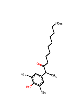 CCCCCCCCCCCCCCCCCCC(=O)C(C)c1cc(CCCC)c(O)c(CCCC)c1